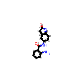 Nc1ccccc1C(=O)Nc1ccc2c(c1)=CC(=O)N=2